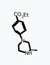 CCOC(=O)c1ccc(N2CCN[C@H](C)C2)cc1